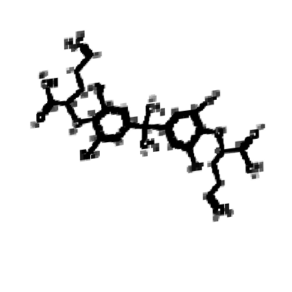 C=CCCC(Oc1c(Br)cc(C(C)(C)c2cc(Br)c(OC(CCC=C)C(=O)O)c(Br)c2)cc1Br)C(=O)O